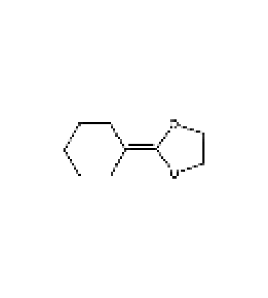 C1CCC(=C2OCCO2)CC1